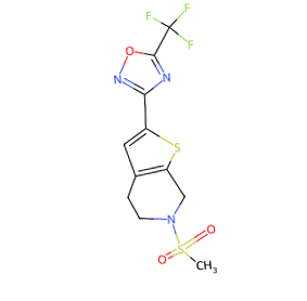 CS(=O)(=O)N1CCc2cc(-c3noc(C(F)(F)F)n3)sc2C1